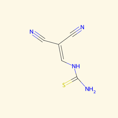 N#CC(C#N)=CNC(N)=S